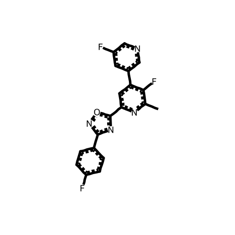 Cc1nc(-c2nc(-c3ccc(F)cc3)no2)cc(-c2cncc(F)c2)c1F